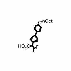 CCCCCCCCOc1ccc(-c2ccc(C(C(=O)O)C(C)F)cc2)cc1